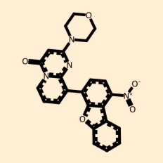 O=c1cc(N2CCOCC2)nc2c(-c3ccc([N+](=O)[O-])c4c3oc3ccccc34)cccn12